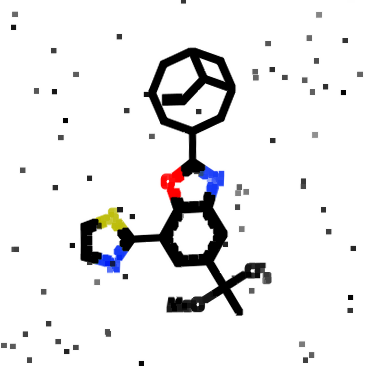 C=CC1C2CCCC(c3nc4cc(C(C)(OC)C(F)(F)F)cc(-c5nccs5)c4o3)CC1C2